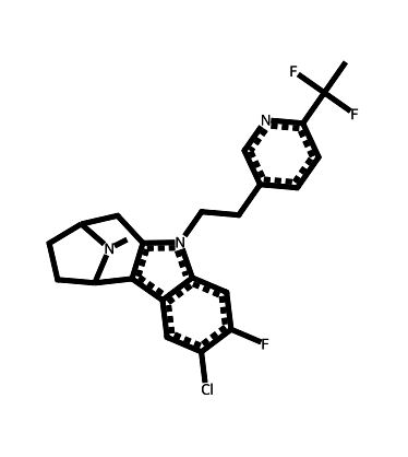 CN1C2CCC1c1c(n(CCc3ccc(C(C)(F)F)nc3)c3cc(F)c(Cl)cc13)C2